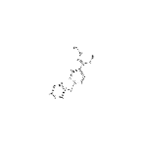 CCON=C(CBr)c1ccc(Oc2ccccc2)cc1